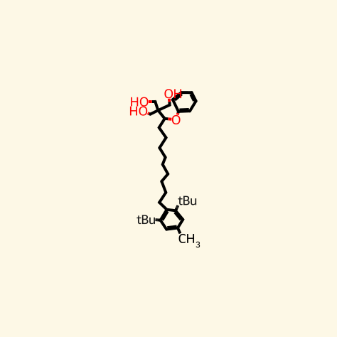 Cc1cc(C(C)(C)C)c(CCCCCCCCCC(Oc2ccccc2)C(CO)(CO)CO)c(C(C)(C)C)c1